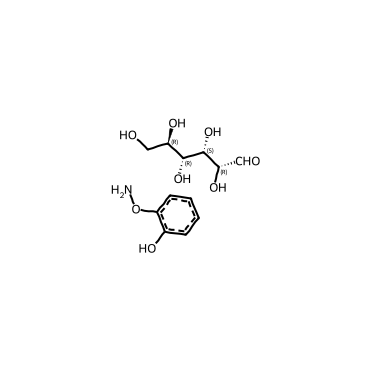 NOc1ccccc1O.O=C[C@H](O)[C@@H](O)[C@H](O)[C@H](O)CO